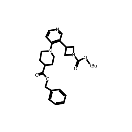 CC(C)(C)OC(=O)N1CC(c2cnccc2N2CCC(C(=O)OCc3ccccc3)CC2)C1